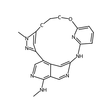 CNc1ncc2c3cc(ncc13)Nc1cccc(n1)OCCCc1cc-2nn1C